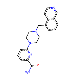 NC(=O)c1[c]ccc(N2CCN(Cc3cccc4cnccc34)CC2)n1